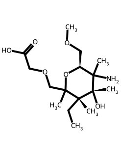 CC[C@]1(C)C(C)(COCC(=O)O)O[C@@H](COC)C(C)(N)[C@]1(C)O